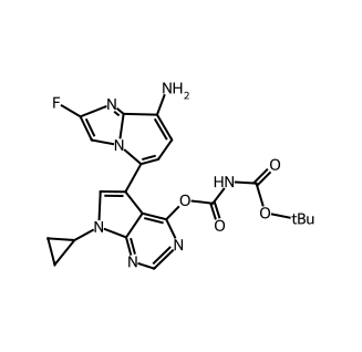 CC(C)(C)OC(=O)NC(=O)Oc1ncnc2c1c(-c1ccc(N)c3nc(F)cn13)cn2C1CC1